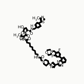 Cc1ncsc1-c1ccc(CNC(=O)[C@@H]2C[C@@H](O)CN2C(=O)C(NC(=O)CCCCCCCCNC(=O)CN2CCC(n3cc(-c4cnc5cccc(-c6cc(F)c(CN7CCOCC7)c(F)c6)c5n4)cn3)CC2)C(C)(C)C)cc1